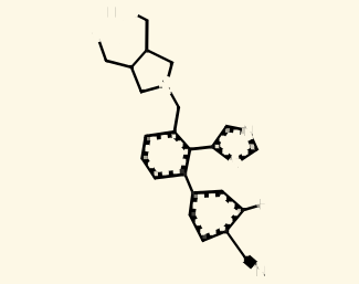 CCC1CN(Cc2cccc(-c3ccc(C#N)c(F)c3)c2-c2cncs2)CC1CC